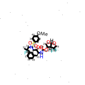 COc1ccc(S(=O)(=O)N(C[C@@H](O)[C@H](Cc2ccccc2)NC(=O)OC2CO[C@H]3OCC(F)(F)[C@@H]23)CC(C)(C)F)cc1